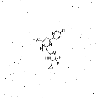 Cc1cc(-c2ccc(Cl)cn2)nc2c(C(=O)N[C@@H](C3CC3)C(F)(F)F)cnn12